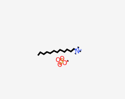 CCCCCCCCCCCC[N+](C)(C)C.COS(=O)(=O)[O-]